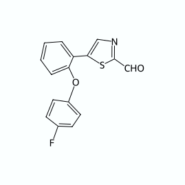 O=Cc1ncc(-c2ccccc2Oc2ccc(F)cc2)s1